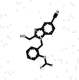 N#Cc1ccc2c(c1)nc(CO)n2Cc1ccccc1OC(F)F